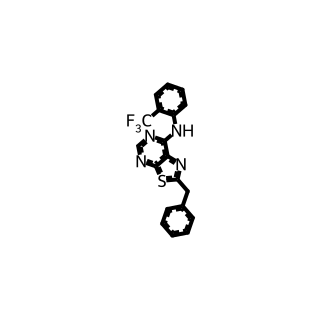 FC(F)(F)c1ccccc1Nc1ncnc2sc(Cc3ccccc3)nc12